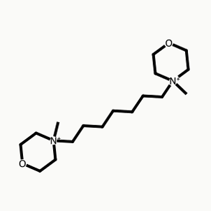 C[N+]1(CCCCCCC[N+]2(C)CCOCC2)CCOCC1